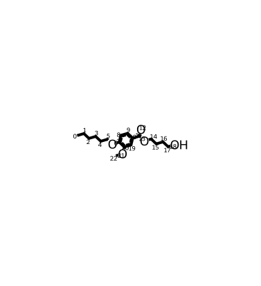 CCCCCCOc1ccc(C(=O)OCCCCO)cc1OC